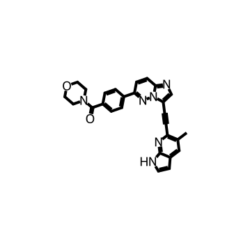 Cc1cc2cc[nH]c2nc1C#Cc1cnc2ccc(-c3ccc(C(=O)N4CCOCC4)cc3)nn12